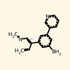 Bc1cc(/C(C=C)=C/N=C)cc(-c2cccnc2)c1